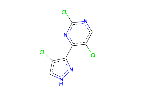 Clc1ncc(Cl)c(-c2n[nH]cc2Cl)n1